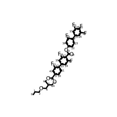 CCCOCC1COC(c2ccc(-c3cc(F)c(C(=O)Oc4ccc(-c5cc(F)c(F)c(F)c5)c(F)c4)c(F)c3)c(F)c2)OC1